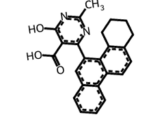 Cc1nc(O)c(C(=O)O)c(-c2cc3ccccc3c3ccc4c(c23)CCCC4)n1